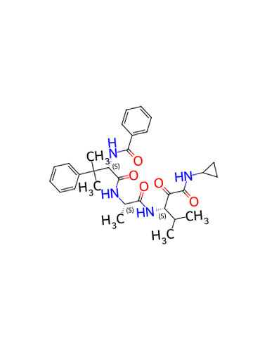 CC(C)[C@H](NC(=O)[C@H](C)NC(=O)[C@@H](NC(=O)c1ccccc1)C(C)(C)c1ccccc1)C(=O)C(=O)NC1CC1